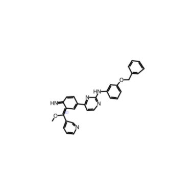 CO/C(=C1/C=C(c2ccnc(Nc3cccc(OCc4ccccc4)c3)n2)C=CC1=N)c1cccnc1